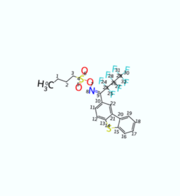 CCCCS(=O)(=O)ON=C(c1ccc2sc3ccccc3c2c1)C(F)(F)C(F)(F)C(F)(F)F